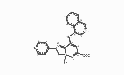 CC[N+]1(CCc2ccncc2)N=C(C(=O)[O-])C=C(Nc2cncc3ccccc23)C1=O